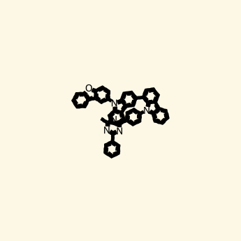 Cc1nc(-c2ccccc2)nc(-c2ccc(-n3c4ccccc4c4cccc(-c5ccc6c(c5)c5ccccc5n6-c5ccc6oc7ccccc7c6c5)c43)cc2)n1